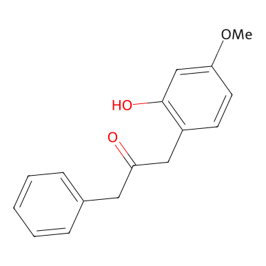 COc1ccc(CC(=O)Cc2ccccc2)c(O)c1